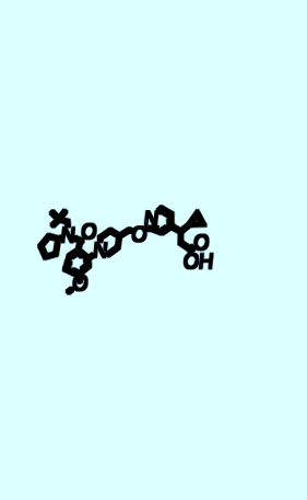 COc1ccc(C(=O)N(CC(C)(C)C)C2CCCC2)c(N2CCC(COc3cc(C(CC(=O)O)C4CC4)ccn3)CC2)c1